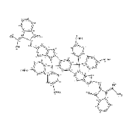 [C-]#[N+]/C(C)=C1\C(=C\c2cc3sc4c(c3s2)C(c2ccc(CCCCCC)cc2)(c2ccc(CCCCCC)cc2)c2cc3c(cc2-4)C(c2ccc(CCCCCC)cc2)(c2ccc(CCCCCC)cc2)c2c-3sc3cc(/C=C4\C(=O)c5ccccc5\C4=C(\C#N)[N+]#[C-])sc23)C(=O)c2ccccc21